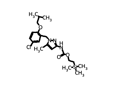 Cc1cc(NC(=O)OCC[Si](C)(C)C)nn1Cc1cc(Cl)ccc1OCC(C)C